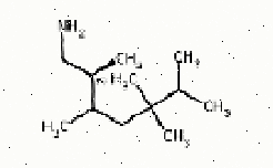 CC(CC(C)(C)C(C)C)[C@H](C)CN